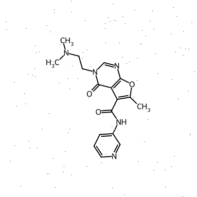 Cc1oc2ncn(CCN(C)C)c(=O)c2c1C(=O)Nc1cccnc1